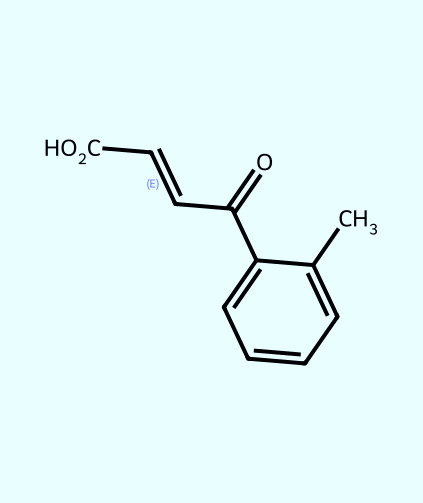 Cc1ccccc1C(=O)/C=C/C(=O)O